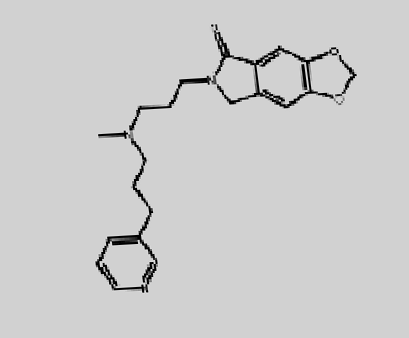 CN(CCCc1cccnc1)CCCN1Cc2cc3c(cc2C1=O)OCO3